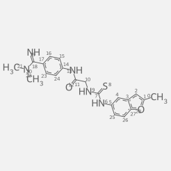 Cc1cc2cc(NC(=S)NCC(=O)Nc3ccc(C(=N)N(C)C)cc3)ccc2o1